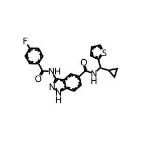 O=C(Nc1n[nH]c2ccc(C(=O)NC(c3cccs3)C3CC3)cc12)c1ccc(F)cc1